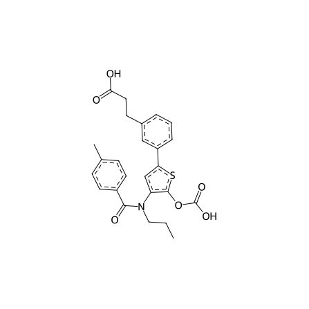 CCCN(C(=O)c1ccc(C)cc1)c1cc(-c2cccc(CCC(=O)O)c2)sc1OC(=O)O